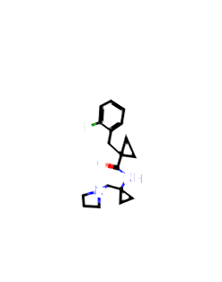 O=C(NC1(CN2CCC2)CC1)C1(Cc2ccccc2F)CC1